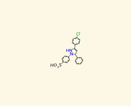 O=S(=O)(O)c1ccc(N2NC(c3ccc(Cl)cc3)=CC2c2ccccc2)cc1